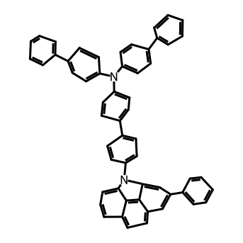 c1ccc(-c2ccc(N(c3ccc(-c4ccccc4)cc3)c3ccc(-c4ccc(-n5c6cccc7ccc8cc(-c9ccccc9)cc5c8c76)cc4)cc3)cc2)cc1